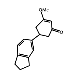 COC1=CC(=O)CC(c2ccc3c(c2)CCC3)C1